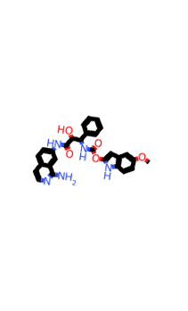 COc1ccc2[nH]c(OC(=O)NC(c3ccccc3)C(O)C(=O)Nc3ccc4ccnc(N)c4c3)cc2c1